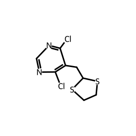 Clc1ncnc(Cl)c1CC1SCCS1